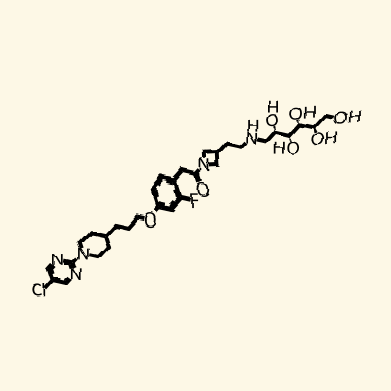 O=C(Cc1ccc(OCCCC2CCN(c3ncc(Cl)cn3)CC2)cc1F)N1CC(CCNC[C@H](O)[C@@H](O)[C@H](O)[C@H](O)CO)C1